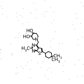 Cc1nc(CN2CC[C@H](O)[C@@H](O)C2)c2cc(C3CCC(C)(C)CC3)sc2n1